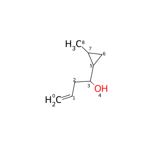 C=CCC(O)C1CC1C